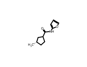 C[C@H]1CCC(C(=O)Nc2ccco2)C1